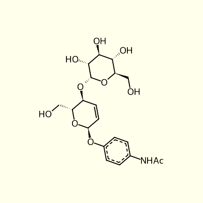 CC(=O)Nc1ccc(O[C@@H]2C=C[C@H](O[C@H]3O[C@H](CO)[C@@H](O)[C@H](O)[C@H]3O)[C@@H](CO)O2)cc1